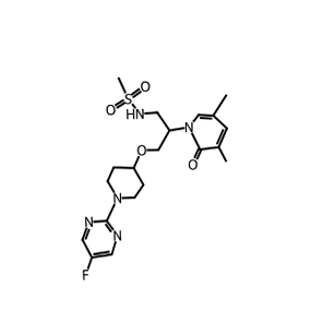 Cc1cc(C)c(=O)n(C(CNS(C)(=O)=O)COC2CCN(c3ncc(F)cn3)CC2)c1